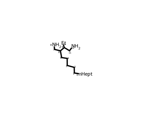 CCCCCCCCCCCCC(CN)C(CC)CN